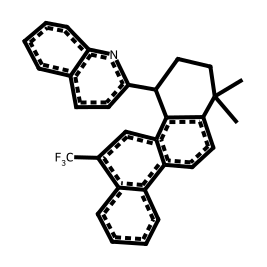 CC1(C)CCC(c2ccc3ccccc3n2)c2c1ccc1c2cc(C(F)(F)F)c2ccccc21